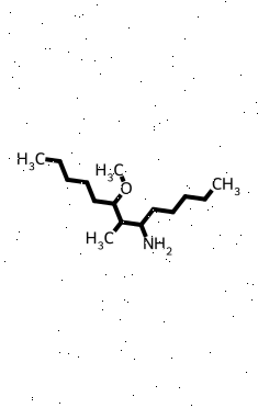 CCCCCC(N)C(C)C(CCCCC)OC